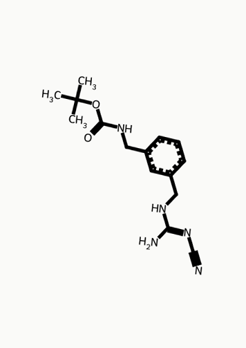 CC(C)(C)OC(=O)NCc1cccc(CNC(N)=NC#N)c1